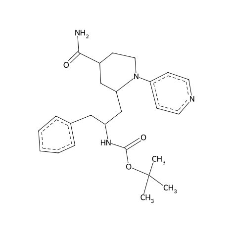 CC(C)(C)OC(=O)NC(Cc1ccccc1)CC1CC(C(N)=O)CCN1c1ccncc1